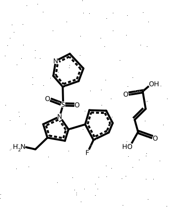 NCc1cc(-c2ccccc2F)n(S(=O)(=O)c2cccnc2)c1.O=C(O)/C=C/C(=O)O